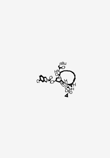 CC(C)(C)CC(=O)N[C@H]1CCCCC/C=C\[C@@H]2C[C@@]2(C(=O)NS(=O)(=O)C2CC2)NC(=O)[C@@H]2C[C@@H](OC(=O)N3Cc4ccc(Cl)cc4C3)CN2C1=O